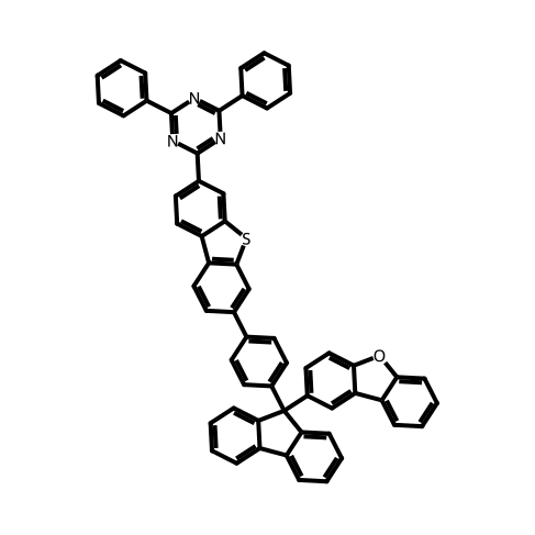 c1ccc(-c2nc(-c3ccccc3)nc(-c3ccc4c(c3)sc3cc(-c5ccc(C6(c7ccc8oc9ccccc9c8c7)c7ccccc7-c7ccccc76)cc5)ccc34)n2)cc1